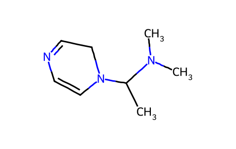 CC(N(C)C)N1C=CN=CC1